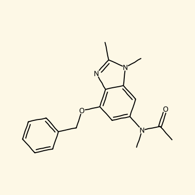 CC(=O)N(C)c1cc(OCc2ccccc2)c2nc(C)n(C)c2c1